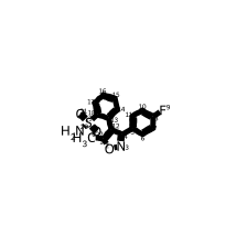 Cc1onc(-c2ccc(F)cc2)c1-c1ccccc1S(N)(=O)=O